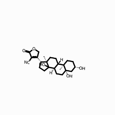 C[C@]12CC[C@H]3[C@@H](CC[C@]4(O)C[C@@H](O)CC[C@]34C)C1(O)CC[C@@H]2C1=C(C#N)C(=O)OC1